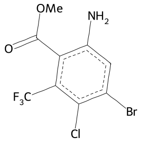 COC(=O)c1c(N)cc(Br)c(Cl)c1C(F)(F)F